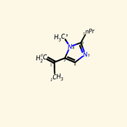 C=C(C)c1cnc(CCC)n1C